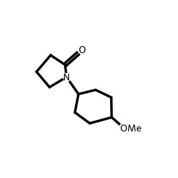 COC1CCC(N2CCCC2=O)CC1